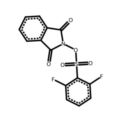 O=C1c2ccccc2C(=O)N1OS(=O)(=O)c1c(F)cccc1F